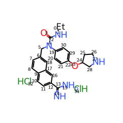 CCNC(=O)N(Cc1ccc2ccc(C(=N)N)cc2c1)c1ccc(OC2CCNC2)cc1.Cl.Cl